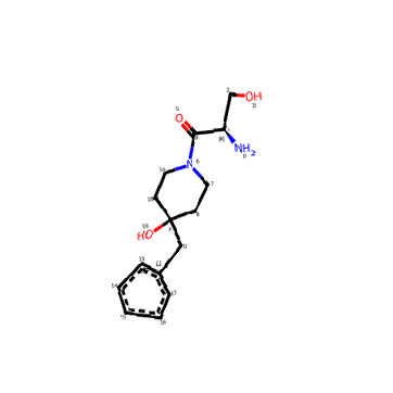 N[C@H](CO)C(=O)N1CCC(O)(Cc2ccccc2)CC1